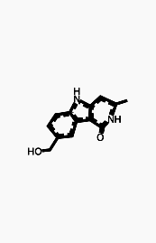 Cc1cc2[nH]c3ccc(CO)cc3c2c(=O)[nH]1